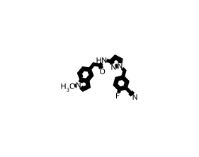 Cn1ccc2cc(CC(=O)Nc3ccn(Cc4ccc(F)c(C#N)c4)n3)ccc21